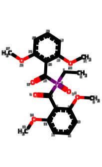 CCP(=O)(C(=O)c1c(OC)cccc1OC)C(=O)c1c(OC)cccc1OC